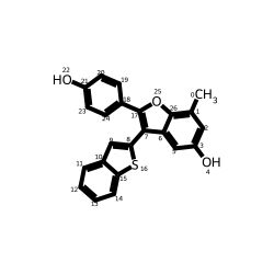 Cc1cc(O)cc2c(-c3cc4ccccc4s3)c(-c3ccc(O)cc3)oc12